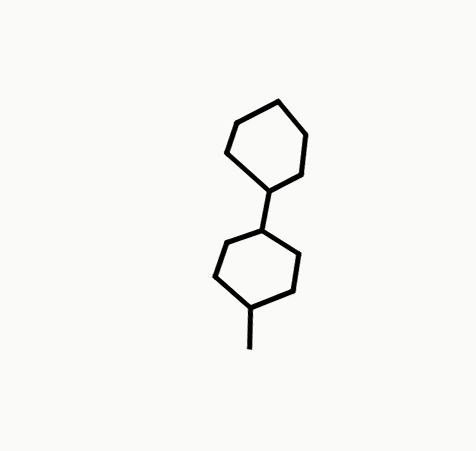 CC1CC[C](C2CCCCC2)CC1